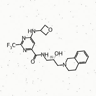 O=C(NC[C@H](O)CN1CCc2ccccc2C1)c1cc(NC2COC2)nc(C(F)(F)F)n1